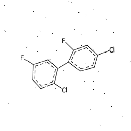 Fc1[c]c(-c2ccc(Cl)cc2F)c(Cl)cc1